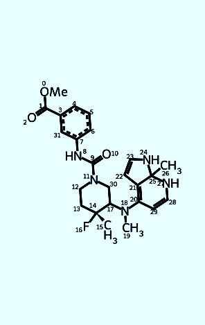 COC(=O)c1cccc(NC(=O)N2CC[C@@](C)(F)C(N(C)C3=C4C=CNC4(C)NC=C3)C2)c1